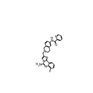 Nc1nc2c(F)cccc2c2nc(CN3CCc4cc(NC(=O)c5ccccn5)ccc4C3)cn12